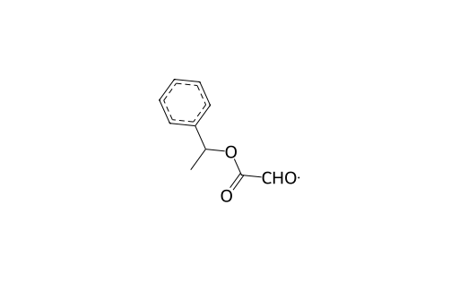 CC(OC(=O)[C]=O)c1ccccc1